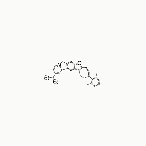 CCC(CC)C1=CC2c3cc4c5c(oc4cc3CN2C=C1)C=C=C(c1c(C)cccc1C)CC5